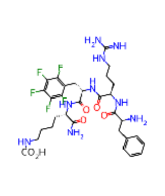 N=C(N)NCCC[C@@H](NC(=O)[C@@H](N)Cc1ccccc1)C(=O)N[C@@H](Cc1c(F)c(F)c(F)c(F)c1F)C(=O)N[C@@H](CCCCNC(=O)O)C(N)=O